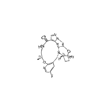 C[C@H]1CNC(=O)c2cnn3cc4c(nc23)N(Cc2cc(F)cnc2O1)[C@H]1CC[C@H]1O4